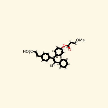 CC/C(=C(\c1ccc(/C=C/C(=O)O)cc1)c1ccc(OC(=O)CCOC)cc1)c1ccccc1